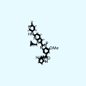 COc1cc(C(=O)N2C[C@H]3CC[C@@H]2[C@@H]3N)cc2nc(-c3cc4ccc(Nc5ccc(C)nc5)nc4n3CC3CC3)n(C)c12